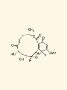 COC1=CC(=O)C2=C([C@H]3O[C@@H]3C[C@H](O)[C@H](O)C(=O)/C=C/C[C@H](C)OC2=O)C1(F)F